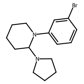 Brc1cccc(N2CCCCC2N2CCCC2)c1